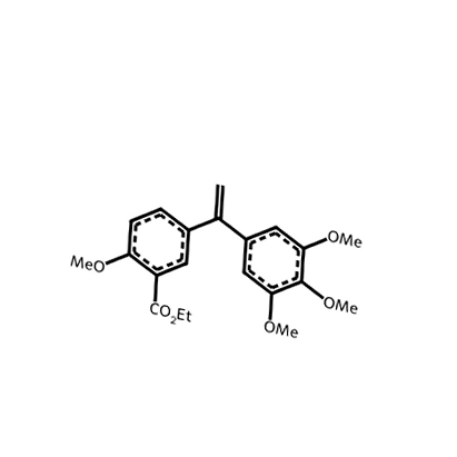 C=C(c1cc(OC)c(OC)c(OC)c1)c1ccc(OC)c(C(=O)OCC)c1